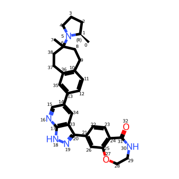 C[C@@H]1CCCN1C1(C)CCc2ccc(-c3cnc4[nH]nc(-c5ccc6c(c5)OCCNC6=O)c4c3)cc2CC1